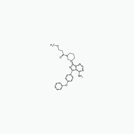 COCCC(=O)N1CCC[C@@H](n2nc(-c3ccc(Oc4ccccc4)cc3)c3c(N)ncnc32)C1